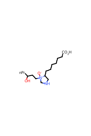 CCCC(O)CC[N+]1([O-])CNCC1CCCCCCC(=O)O